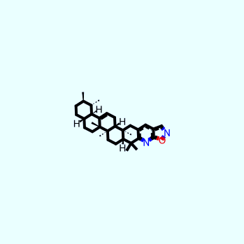 C[C@@H]1[C@H]2C3=CC[C@@H]4[C@@]5(C)Cc6cc7cnoc7nc6C(C)(C)[C@@H]5CC[C@@]4(C)[C@]3(C)CC[C@@H]2CC[C@H]1C